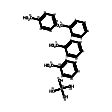 O=C(O)c1ccccc1.O=C(O)c1ccccc1.O=C(O)c1ccccc1.O=C(O)c1ccccc1.[OH][Ti]([OH])([OH])[OH]